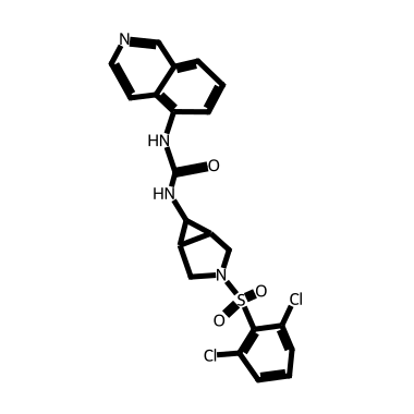 O=C(Nc1cccc2cnccc12)NC1C2CN(S(=O)(=O)c3c(Cl)cccc3Cl)CC21